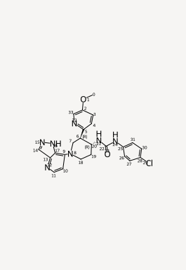 COc1ccc([C@@H]2CN(c3ccnc4cn[nH]c34)CC[C@H]2NC(=O)Nc2ccc(Cl)cc2)nc1